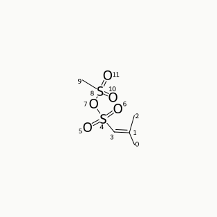 CC(C)=CS(=O)(=O)OS(C)(=O)=O